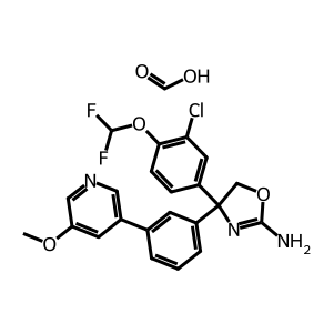 COc1cncc(-c2cccc(C3(c4ccc(OC(F)F)c(Cl)c4)COC(N)=N3)c2)c1.O=CO